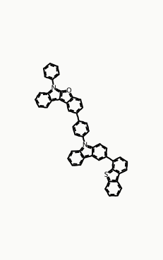 c1ccc(-n2c3ccccc3c3c4cc(-c5ccc(-n6c7ccccc7c7cc(-c8cccc9c8sc8ccccc89)ccc76)cc5)ccc4oc32)cc1